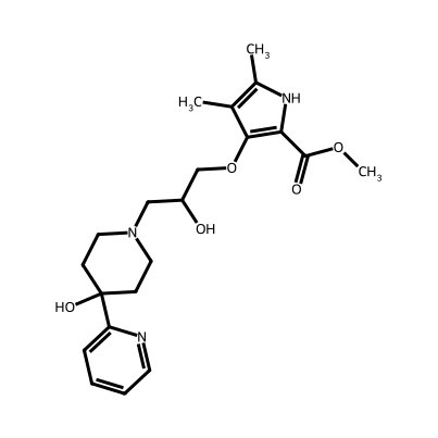 COC(=O)c1[nH]c(C)c(C)c1OCC(O)CN1CCC(O)(c2ccccn2)CC1